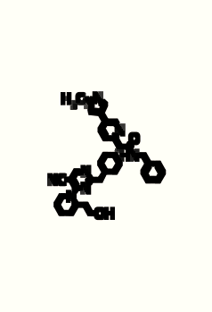 Cn1cc(-c2ccc(C(C(=O)NCc3ccccc3)[C@H]3CC[C@H](Cc4ncc(C#N)c(N5CCCCC5CCO)n4)CC3)nc2)cn1